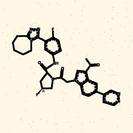 CC(=O)c1cn(CC(=O)N2C[C@H](F)CC2C(=O)Nc2ccc(F)c(-c3nnc4n3CCCCC4)c2)c2ccc(-c3ccnnc3)cc12